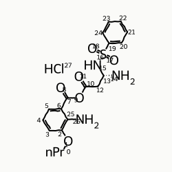 CCCOc1cccc(C(=O)OC(=O)C[C@@H](N)NS(=O)(=O)c2ccccc2)c1N.Cl